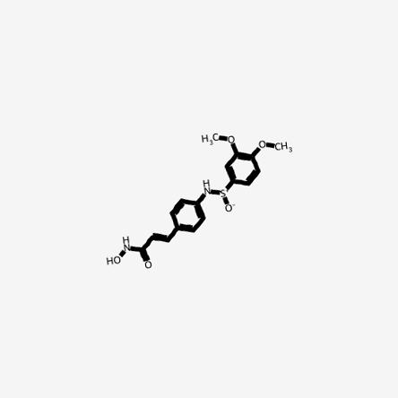 COc1ccc([S+]([O-])Nc2ccc(/C=C/C(=O)NO)cc2)cc1OC